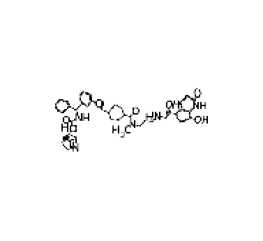 CN(CCCNC[C@@H](O)c1ccc(O)c2[nH]c(=O)ccc12)C(=O)C1CCC(COc2cccc(C(NC(=O)O[C@H]3CN4CCC3CC4)c3ccccc3)c2)CC1